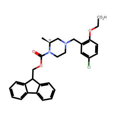 C[C@H]1CN(Cc2cc(Cl)ccc2OCC(=O)O)CCN1C(=O)OCC1c2ccccc2-c2ccccc21